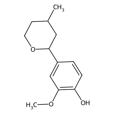 COc1cc(C2CC(C)CCO2)ccc1O